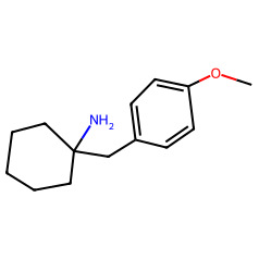 COc1ccc(CC2(N)CCCCC2)cc1